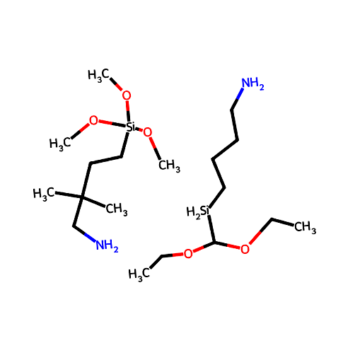 CCOC(OCC)[SiH2]CCCCN.CO[Si](CCC(C)(C)CN)(OC)OC